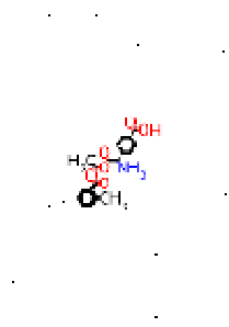 Cc1ccccc1C(=O)OC(C)OC(=O)C(N)[C@H]1CC[C@H](C(=O)O)CC1